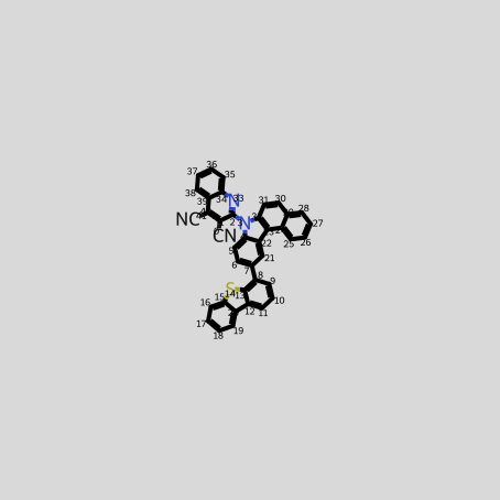 N#Cc1c(-n2c3ccc(-c4cccc5c4sc4ccccc45)cc3c3c4ccccc4ccc32)nc2ccccc2c1C#N